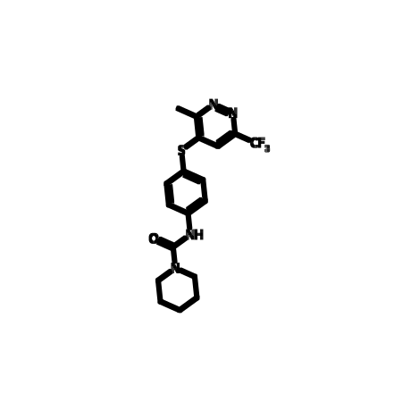 Cc1nnc(C(F)(F)F)cc1Sc1ccc(NC(=O)N2CCCCC2)cc1